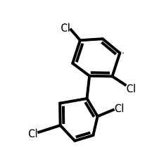 Clc1c[c]c(Cl)c(-c2cc(Cl)ccc2Cl)c1